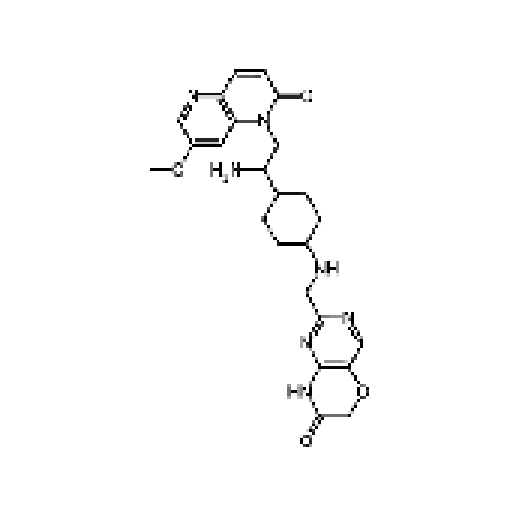 COc1cnc2ccc(=O)n(CC(N)C3CCC(NCc4ncc5c(n4)NC(=O)CO5)CC3)c2c1